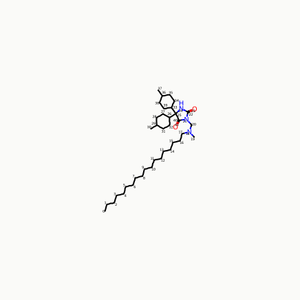 CCCCCCCCCCCCCCCCCCN(C)CN1C(=O)NC(C2CCC(C)CC2)(C2CCC(C)CC2)C1=O